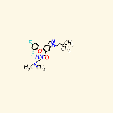 CC(C)CCn1ncc2cc(Oc3ccc(F)cc3F)c(C(=O)NCCN(C)C)cc21